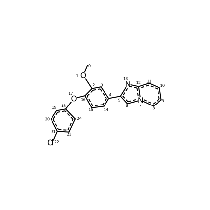 COc1cc(-c2cn3ccccc3n2)ccc1Oc1ccc(Cl)cc1